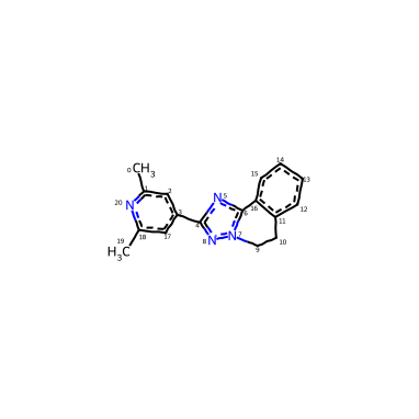 Cc1cc(-c2nc3n(n2)CCc2ccccc2-3)cc(C)n1